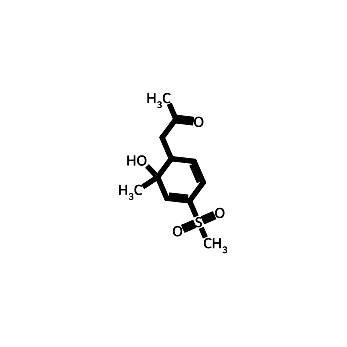 CC(=O)CC1C=CC(S(C)(=O)=O)=CC1(C)O